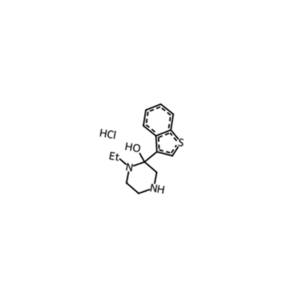 CCN1CCNCC1(O)c1csc2ccccc12.Cl